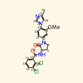 COc1cc(N2CCC(NC(=O)c3cccc(Cl)c3Cl)C2=O)ccc1-n1cnc(C)c1